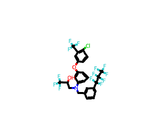 OC(CN(Cc1cccc(C(F)(F)C(F)(F)C(F)(F)F)c1)c1cccc(Oc2ccc(Cl)c(C(F)(F)F)c2)c1)C(F)(F)F